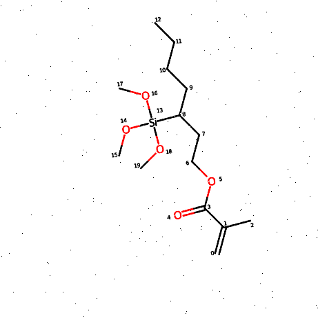 C=C(C)C(=O)OCCC(CCCC)[Si](OC)(OC)OC